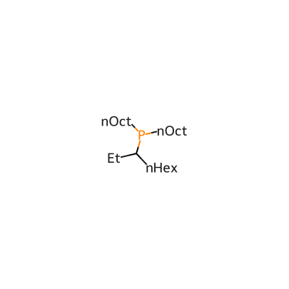 CCCCCCCCP(CCCCCCCC)C(CC)CCCCCC